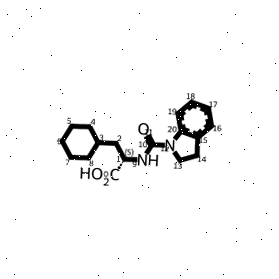 O=C(O)[C@H](CC1CCCCC1)NC(=O)N1CCc2ccccc21